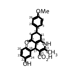 COc1ccc(C2CC(=O)C3=C(C2)NC(C)=C(C(=O)O)C3c2cccc(O)c2)cc1